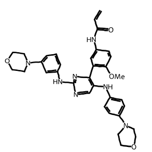 C=CC(=O)Nc1ccc(OC)c(-c2nc(Nc3cccc(N4CCOCC4)c3)ncc2Nc2ccc(N3CCOCC3)cc2)c1